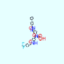 Cc1ccc(-c2ccc(-c3nc(-c4ccc(CN(CC(=O)O)C(=O)c5ccc(NC(=O)Cc6ccc(C(C)(F)F)cc6)cc5)cc4)no3)cc2)cc1